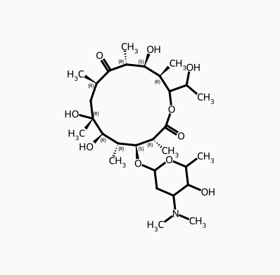 CC(O)C1OC(=O)[C@H](C)[C@@H](OC2CC(N(C)C)C(O)C(C)O2)[C@H](C)[C@@H](O)[C@](C)(O)C[C@@H](C)C(=O)[C@H](C)[C@@H](O)[C@H]1C